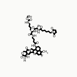 CC[C@@]1(O)C(=O)OCc2c1cc1n(c2=O)Cc2c-1nc1cc(F)c(C)c3c1c2[C@@H](NC(=O)CCCNC(=O)[C@H](CCCCNC(=O)OC(C)(C)C)NC(=O)[C@@H](NC(=O)CCCCCN1C(=O)C=CC1=O)C(C)C)CC3